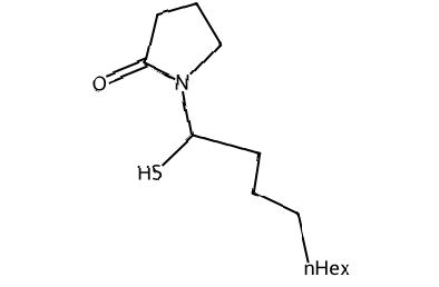 CCCCCCCCCC(S)N1CCCC1=O